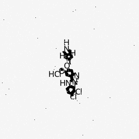 COc1cc2c(Nc3ccc(Cl)c(Cl)c3F)ncnc2cc1OC[C@H]1C[C@H]2CNC[C@H]2C1.Cl